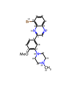 COc1ccc(-c2cnc3cccc(Br)c3n2)cc1N1CCN(C)CC1